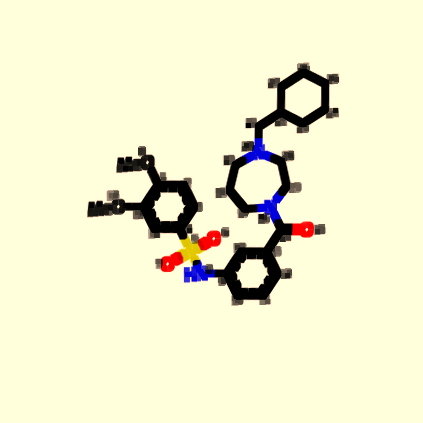 COc1ccc(S(=O)(=O)Nc2cccc(C(=O)N3CCCN(CC4CCCCC4)CC3)c2)cc1OC